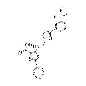 O=C(O)c1sc(-c2ccccc2)cc1NCc1ccc(-c2cccc(C(F)(F)F)c2)o1